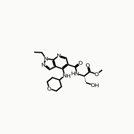 CCn1ncc2c(NC3CCOCC3)c(C(=O)N[C@@H](CO)C(=O)OC)cnc21